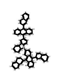 c1ccc2cc(-c3c4ccccc4c(-c4ccc5c(c4)c4ccccc4n5-c4ccc5c(-c6ccc7ccccc7c6)c6ccccc6c(-c6ccc7ccccc7c6)c5c4)c4ccccc34)ccc2c1